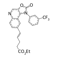 CCOC(=O)CC/C=C/c1ccc2ncc3oc(=O)n(-c4cccc(C(F)(F)F)c4)c3c2c1